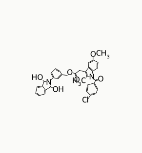 COc1ccc2c(c1)c(CC(=O)OCc1cccc(N3C(O)c4ccccc4C3O)c1)c(C)n2C(=O)c1ccc(Cl)cc1